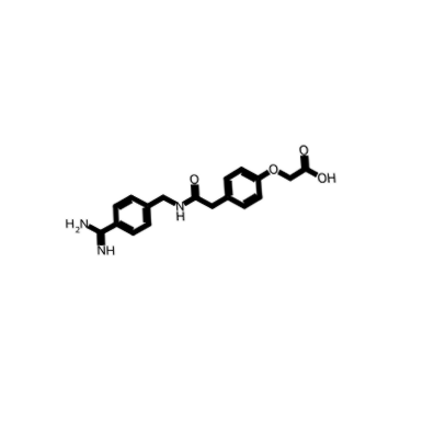 N=C(N)c1ccc(CNC(=O)Cc2ccc(OCC(=O)O)cc2)cc1